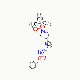 CC(C)(C)OC(=O)N1CCC(c2csc(CNC(=O)OCc3ccccc3)n2)CC1